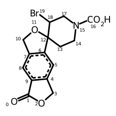 O=C1OCc2cc3c(cc21)COC31CCN(C(=O)O)CC1Br